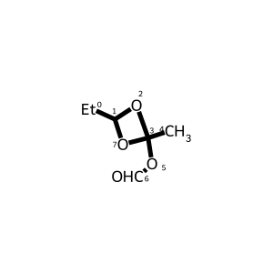 CCC1OC(C)(OC=O)O1